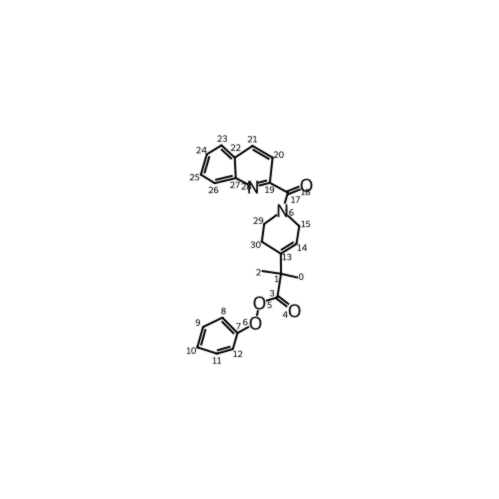 CC(C)(C(=O)OOc1ccccc1)C1=CCN(C(=O)c2ccc3ccccc3n2)CC1